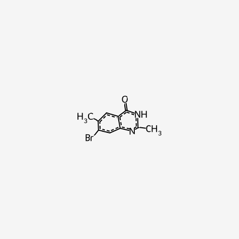 Cc1nc2cc(Br)c(C)cc2c(=O)[nH]1